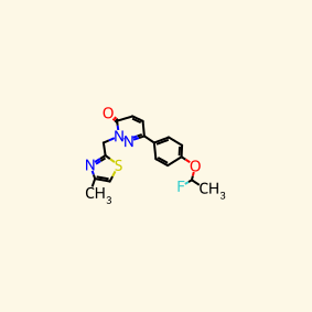 Cc1csc(Cn2nc(-c3ccc(OC(C)F)cc3)ccc2=O)n1